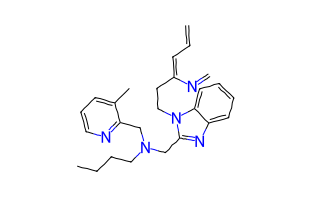 C=C/C=C(/CCn1c(CN(CCCC)Cc2ncccc2C)nc2ccccc21)N=C